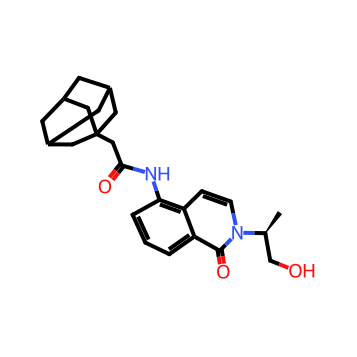 C[C@@H](CO)n1ccc2c(NC(=O)CC34CC5CC(CC(C5)C3)C4)cccc2c1=O